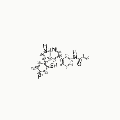 C=CC(=O)Nc1cccc(-c2cnc3[nH]cc(-c4cc(C)c(F)cc4S)c3c2)c1